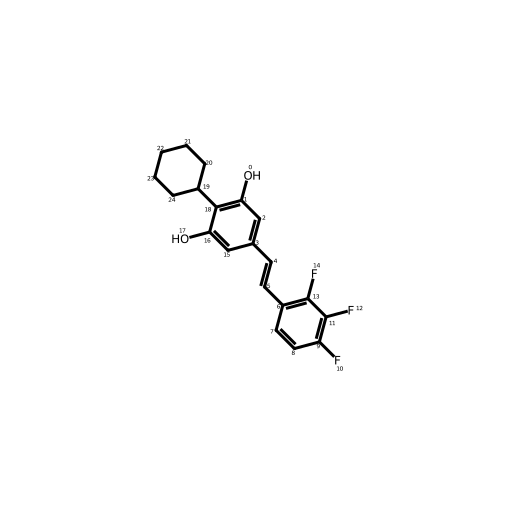 Oc1cc(/C=C/c2ccc(F)c(F)c2F)cc(O)c1C1CCCCC1